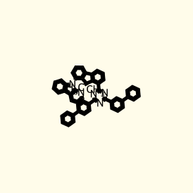 CC1(C)c2c(-c3nc(-c4ccc(-c5ccccc5)cc4)nc(-c4cccc(-c5ccccc5)c4)n3)cccc2-c2cccc(-n3c4ccccc4c4cccnc43)c21